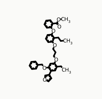 CCCc1c(OCCCOc2cc(OCc3ccccc3)c(-c3ccoc3)cc2CC)cccc1Oc1ccccc1C(=O)OC